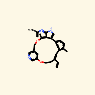 C=C/C1=C\c2cc(ccc2C)C2=CNC(=N/C(=C)NC)/C2=C(\C)OCc2cncc(c2)OCC1